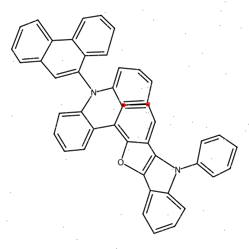 c1ccc(N(c2ccccc2-c2cccc3c2oc2c4ccccc4n(-c4ccccc4)c32)c2cc3ccccc3c3ccccc23)cc1